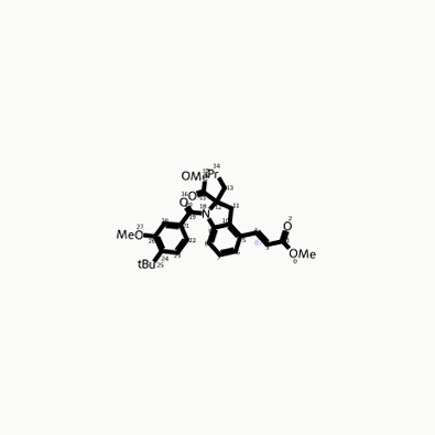 COC(=O)/C=C/c1cccc2c1CC(CC(C)C)(C(=O)OC)N2C(=O)c1ccc(C(C)(C)C)c(OC)c1